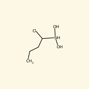 CCCC(Cl)[SiH](O)O